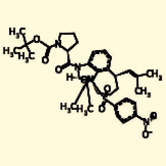 CC(C)=C[C@H]1CCC[C@]23c4c1cccc4N(C(=O)[C@@H]1CCCN1C(=O)OC(C)(C)C)[C@H]2OC(C)(C)N3S(=O)(=O)c1ccc([N+](=O)[O-])cc1